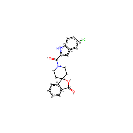 O=C1OC2(CCN(C(=O)c3cc4cc(Cl)ccc4[nH]3)CC2)c2ccccc21